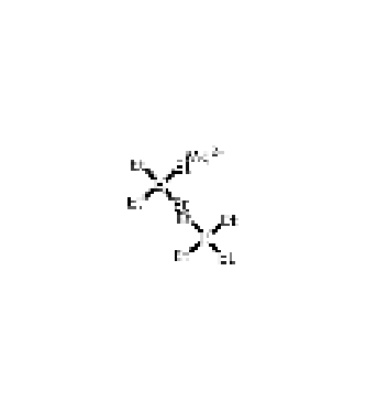 CC[B-](CC)(CC)CC.CC[B-](CC)(CC)CC.[Mg+2]